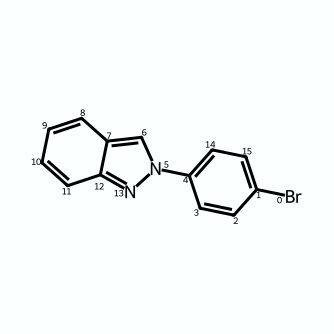 Brc1ccc(-n2cc3ccccc3n2)cc1